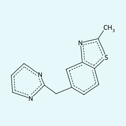 Cc1nc2cc(Cc3ncccn3)ccc2s1